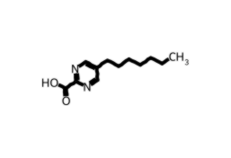 CCCCCCCc1cnc(C(=O)O)nc1